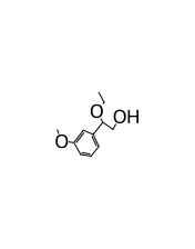 CCOC(CO)c1cccc(OC)c1